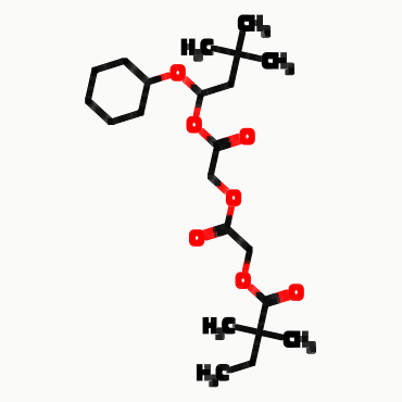 CCC(C)(C)C(=O)OCC(=O)OCC(=O)OC(CC(C)(C)C)OC1CCCCC1